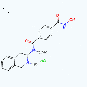 CON(C(=O)c1ccc(C(=O)NO)cc1)C1Cc2ccccc2CN1C(C)C.Cl